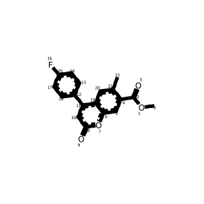 COC(=O)c1cc2oc(=O)cc(-c3ccc(F)cc3)c2cc1C